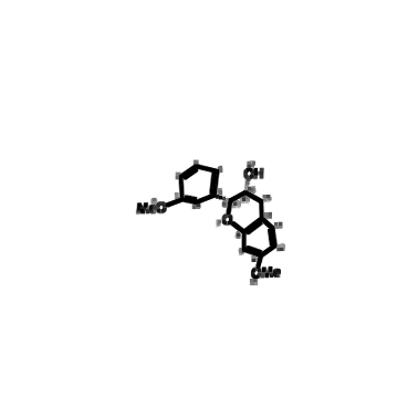 COc1cccc([C@H]2Oc3cc(OC)ccc3C[C@H]2O)c1